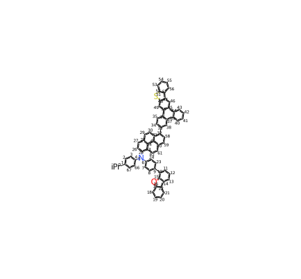 CC(C)c1ccc(N(c2ccc(-c3cccc4c3oc3ccccc34)cc2)c2ccc3ccc4c(-c5ccc6c(c5)c5ccccc5c5cc7c(cc65)sc5ccccc57)ccc5ccc2c3c54)cc1